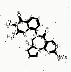 CNc1ncc2c(n1)N1CCC[C@H]1CN(c1cccc3c(=O)n(C)c(C)nc13)C2=O